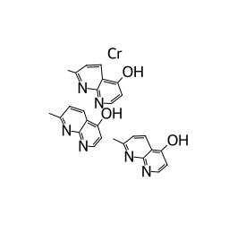 Cc1ccc2c(O)ccnc2n1.Cc1ccc2c(O)ccnc2n1.Cc1ccc2c(O)ccnc2n1.[Cr]